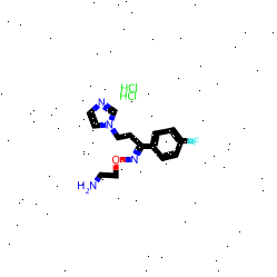 Cl.Cl.NCCON=C(CCn1ccnc1)c1ccc(F)cc1